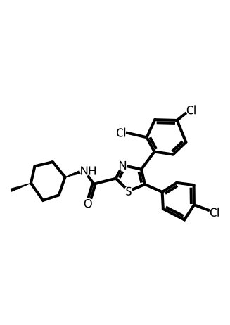 C[C@H]1CC[C@@H](NC(=O)c2nc(-c3ccc(Cl)cc3Cl)c(-c3ccc(Cl)cc3)s2)CC1